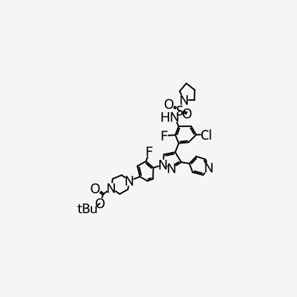 CC(C)(C)OC(=O)N1CCN(c2ccc(-n3cc(-c4cc(Cl)cc(NS(=O)(=O)N5CCCC5)c4F)c(-c4ccncc4)n3)c(F)c2)CC1